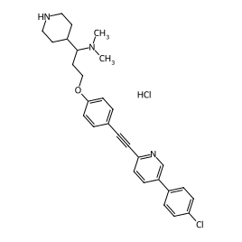 CN(C)C(CCOc1ccc(C#Cc2ccc(-c3ccc(Cl)cc3)cn2)cc1)C1CCNCC1.Cl